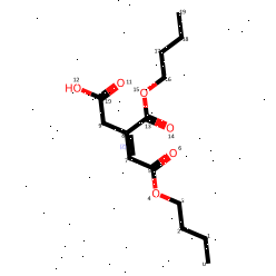 CCCCOC(=O)/C=C(/CC(=O)O)C(=O)OCCCC